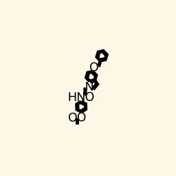 CC(=O)Oc1ccc(NC(=O)Cn2ccc3cc(OCc4ccccc4)ccc32)cc1